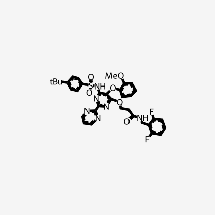 COc1ccccc1Oc1c(NS(=O)(=O)c2ccc(C(C)(C)C)cc2)nc(-c2ncccn2)nc1OCCC(=O)NCc1c(F)cccc1F